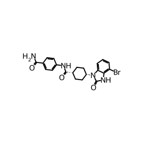 NC(=O)c1ccc(NC(=O)[C@H]2CC[C@@H](n3c(=O)[nH]c4c(Br)cccc43)CC2)cc1